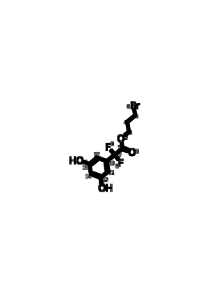 O=C(OCCCBr)C(F)(F)c1cc(O)cc(O)c1